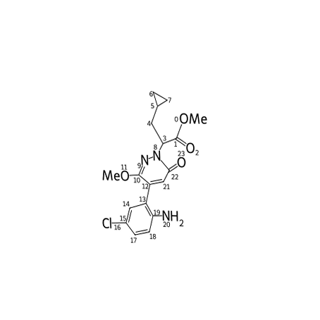 COC(=O)C(CC1CC1)n1nc(OC)c(-c2cc(Cl)ccc2N)cc1=O